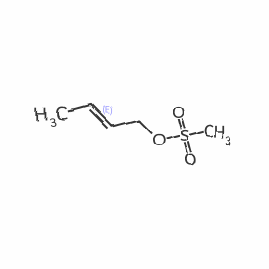 C/C=C/COS(C)(=O)=O